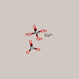 O=[As](O)(O)O.[Cu+2].[O]=[Cr]([O-])[O-]